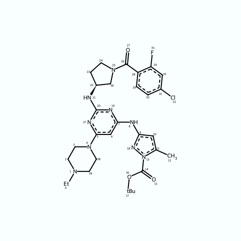 CCN1CCN(c2cc(Nc3cc(C)n(C(=O)OC(C)(C)C)n3)nc(N[C@H]3CCN(C(=O)c4ccc(Cl)cc4F)C3)n2)CC1